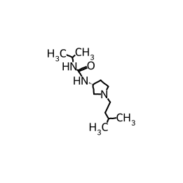 CC(C)CCN1CC[C@@H](NC(=O)NC(C)C)C1